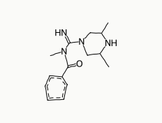 CC1CN(C(=N)N(C)C(=O)c2ccccc2)CC(C)N1